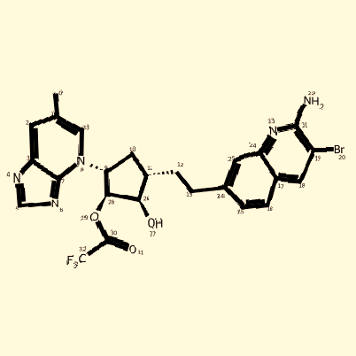 Cc1cc2ncnc-2n([C@@H]2C[C@H](CCc3ccc4cc(Br)c(N)nc4c3)[C@@H](O)[C@H]2OC(=O)C(F)(F)F)c1